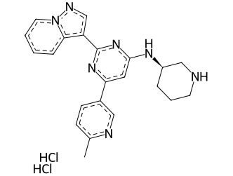 Cc1ccc(-c2cc(N[C@@H]3CCCNC3)nc(-c3cnn4ccccc34)n2)cn1.Cl.Cl